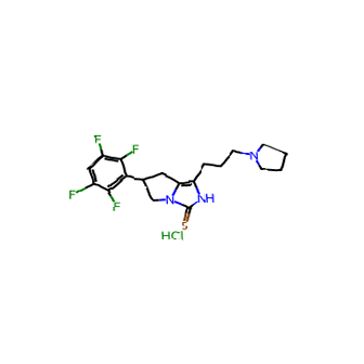 Cl.Fc1cc(F)c(F)c(C2Cc3c(CCCN4CCCC4)[nH]c(=S)n3C2)c1F